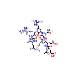 CSCC[C@H](NC(=O)[C@H](CCC(=O)O)NC(=O)[C@H](CCC(=O)O)NC(C)=O)C(=O)N[C@@H](CCC(N)=O)C(=O)N[C@@H](CCCNC(=N)N)C(=O)N[C@@H](CCCNC(=N)N)C(=O)N[C@@H](C)C(=O)N[C@@H](CCC(N)=O)C(N)=O